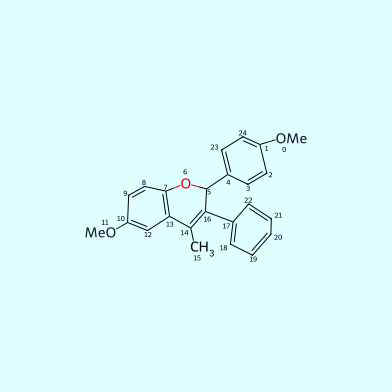 COc1ccc(C2Oc3ccc(OC)cc3C(C)=C2c2ccccc2)cc1